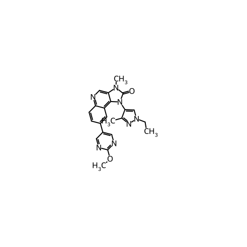 CCn1cc(-n2c(=O)n(C)c3cnc4ccc(-c5cnc(OC)nc5)cc4c32)c(C)n1